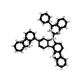 C1=CC2c3c(ccc4c3sc3ccccc34)N(c3nc(-c4ccccc4)c4ccccc4n3)C2C=C1c1cccc2c1sc1ccccc12